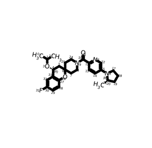 CC(C)O[C@@H]1CC2(CCN(C(=O)c3ccc(N4CCC[C@H]4C)cn3)CC2)Oc2ccc(F)cc21